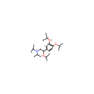 CC(C)Oc1ccc(C(CN(C(C)C)C(C)C)OC(C)C)cc1OC(C)C